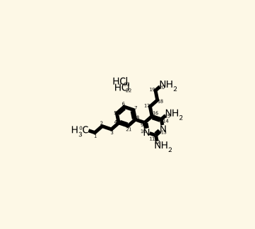 CCCCc1cccc(-c2nc(N)nc(N)c2CCCN)c1.Cl.Cl